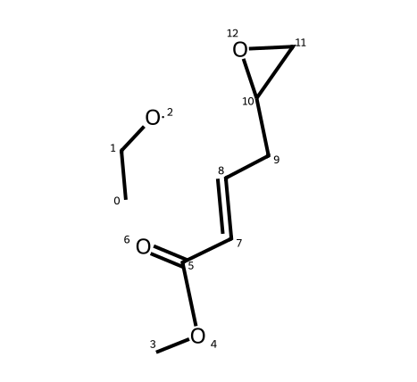 CC[O].COC(=O)C=CCC1CO1